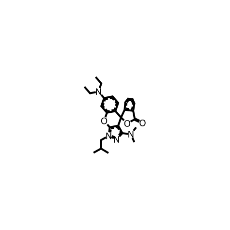 CCN(CC)c1ccc2c(c1)Oc1c(c(N(C)C)nn1CC(C)C)C21OC(=O)c2ccccc21